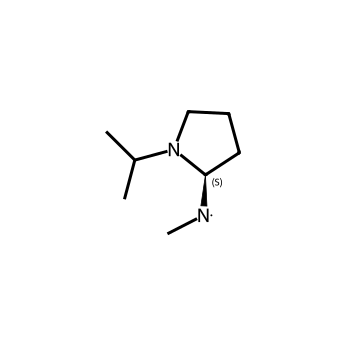 C[N][C@@H]1CCCN1C(C)C